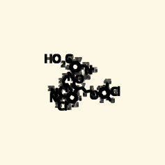 Cc1cc(OCCCc2c3n(c4c(-c5c(C)nn(C)c5C)c(Cl)ccc24)CCCN(c2cc(CN(C)C)cc(C(=O)O)c2)C3=O)cc(C)c1Cl